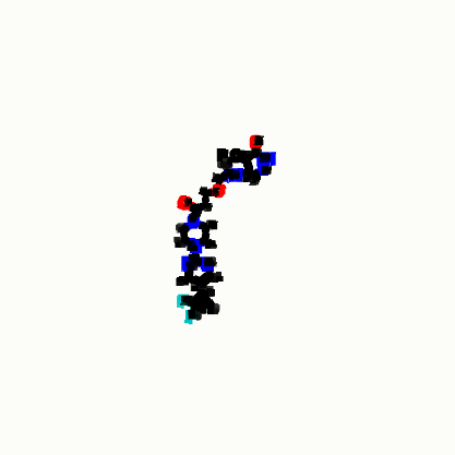 C[C@@H](COCCC(=O)N1CCN(c2ncc([C@@H]3CC3(F)F)cn2)CC1)Nc1cn[nH]c(=O)c1C(F)(F)F